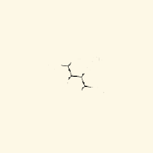 O.O=C(O)C(O)C(O)C(O)C(O)C(=O)O.[Mn]